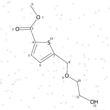 COC(=O)c1ccc(COCCO)s1